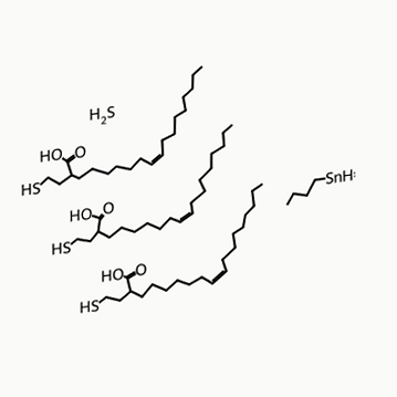 CCCCCCCC/C=C\CCCCCCC(CCS)C(=O)O.CCCCCCCC/C=C\CCCCCCC(CCS)C(=O)O.CCCCCCCC/C=C\CCCCCCC(CCS)C(=O)O.CCC[CH2][SnH].S